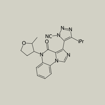 CC(C)c1nnn(C#N)c1-c1ncn2c1c(=O)n(C1CCOC1C)c1ccccc12